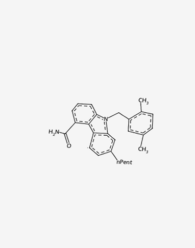 CCCCCc1c[c]c2c3c(C(N)=O)cccc3n(Cc3cc(C)ccc3C)c2c1